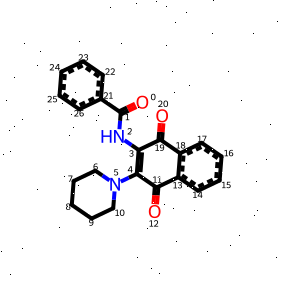 O=C(NC1=C(N2CCCCC2)C(=O)c2ccccc2C1=O)c1ccccc1